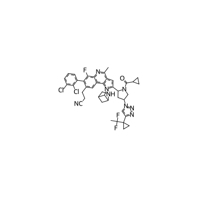 Cc1nc2c(F)c(-c3cccc(Cl)c3Cl)c(CCC#N)cc2c2c1cc(C1CC(n3cc(C4(C(C)(F)F)CC4)nn3)CN1C(=O)C1CC1)n2C1C2CNC1C2